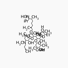 C#CCCN(C)[C@H]1C[C@@H](C)O[C@@H](O[C@H]([C@@H](C)C(O[C@H]2C[C@@](C)(OC)[C@@H](O)[C@H](C)O2)[C@@H](C)C(=O)O[C@H](CC)C(C)(C)O)C(C)(C)OCC(=C)CCC[C@@H](C)/C(=N/O)C(C)C)[C@@H]1O